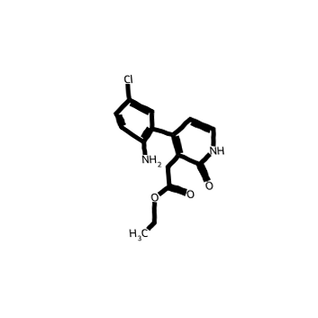 CCOC(=O)Cc1c(-c2cc(Cl)ccc2N)cc[nH]c1=O